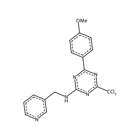 COc1ccc(-c2nc(NCc3cccnc3)nc(C(Cl)(Cl)Cl)n2)cc1